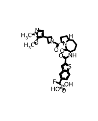 COc1c(C2CN(C(=O)[C@@H]3CC[C@@H]4CCC[C@H](NC(=O)c5cc6cc(C(F)P(=O)(O)O)ccc6s5)C(=O)N43)C2)cnn1C